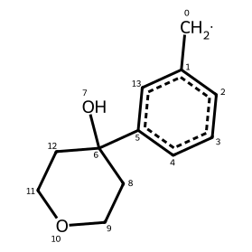 [CH2]c1cccc(C2(O)CCOCC2)c1